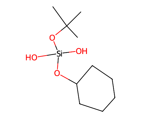 CC(C)(C)O[Si](O)(O)OC1CCCCC1